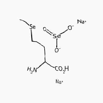 C[Se]CCC(N)C(=O)O.O=[Se]([O-])[O-].[Na+].[Na+]